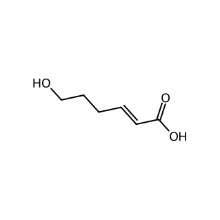 O=C(O)/C=C/CCCO